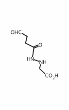 O=CCCC(=O)NNCC(=O)O